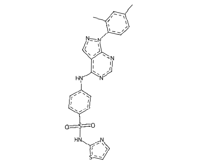 Cc1ccc(-n2ncc3c(Nc4ccc(S(=O)(=O)Nc5nccs5)cc4)ncnc32)c(C)c1